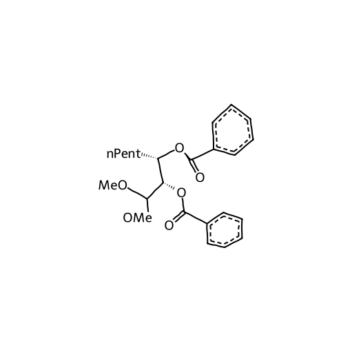 CCCCC[C@H](OC(=O)c1ccccc1)[C@H](OC(=O)c1ccccc1)C(OC)OC